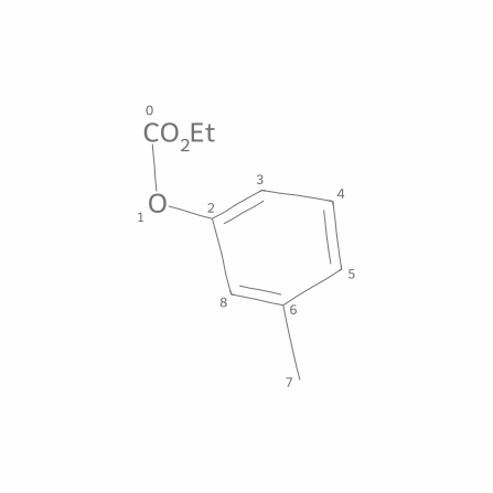 [CH2]COC(=O)Oc1cccc(C)c1